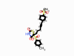 Cc1ccc(S(=O)(=O)C2(CCCC#Cc3ccc(S(C)(=O)=O)cc3)SC(=O)NC2=O)cc1